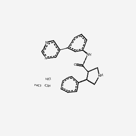 Cl.Cl.Cl.O=C(Nc1cccc(-c2cncnc2)c1)C1CNCC1c1ccccc1